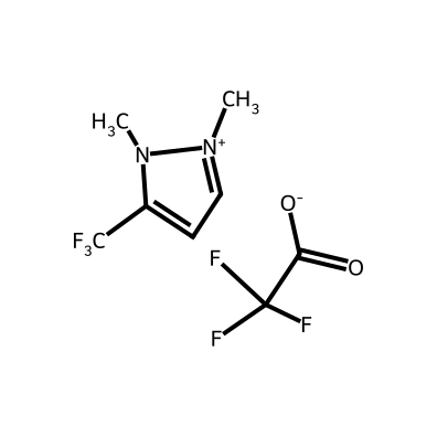 Cn1c(C(F)(F)F)cc[n+]1C.O=C([O-])C(F)(F)F